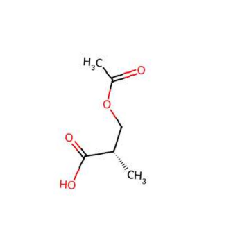 CC(=O)OC[C@H](C)C(=O)O